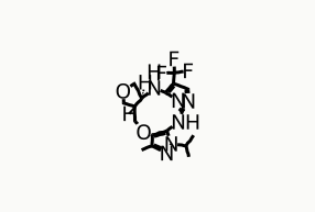 Cc1nn(C(C)C)c2c1OC[C@@H]1COC[C@H]1Nc1nc(ncc1C(F)(F)F)N2